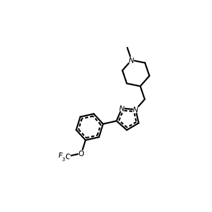 CN1CCC(Cn2ccc(-c3cccc(OC(F)(F)F)c3)n2)CC1